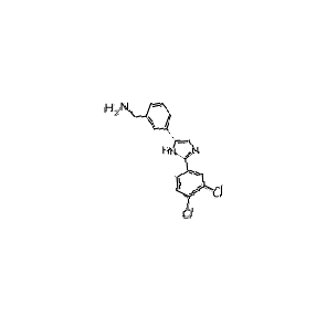 NCc1cccc(-c2cnc(-c3ccc(Cl)c(Cl)c3)[nH]2)c1